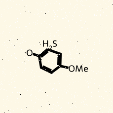 COc1ccc([O])cc1.S